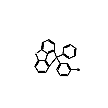 Brc1cccc(C2(c3ccccc3)c3cccc4oc5cccc2c5c34)c1